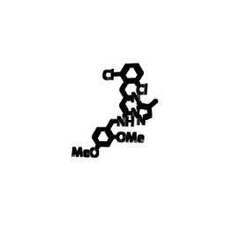 COc1ccc(CNc2cc(Cc3c(Cl)cccc3Cl)nc3c(C)cnn23)c(OC)c1